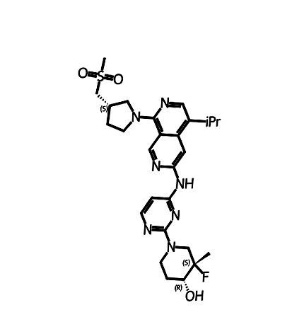 CC(C)c1cnc(N2CC[C@H](CS(C)(=O)=O)C2)c2cnc(Nc3ccnc(N4CC[C@@H](O)[C@@](C)(F)C4)n3)cc12